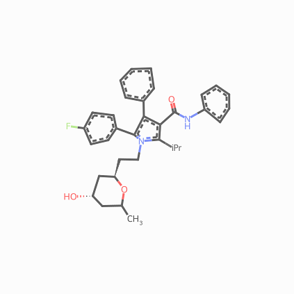 CC1C[C@H](O)C[C@@H](CCn2c(-c3ccc(F)cc3)c(-c3ccccc3)c(C(=O)Nc3ccccc3)c2C(C)C)O1